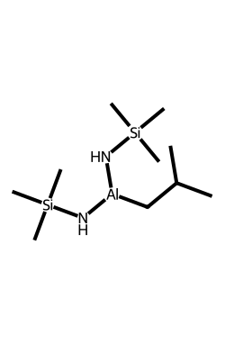 CC(C)[CH2][Al]([NH][Si](C)(C)C)[NH][Si](C)(C)C